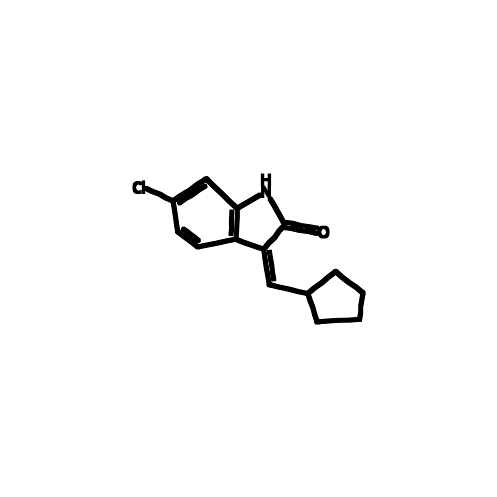 O=C1Nc2cc(Cl)ccc2C1=CC1CCCC1